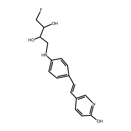 Oc1ccc(/C=C/c2ccc(NCC(O)C(O)CF)cc2)cn1